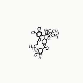 C=CCOc1cc(Cl)c(Cl)cc1[C@H](N[S+]([O-])C(C)(C)C)C1CCN(C(=O)C2CNC(=O)NC2)CC1